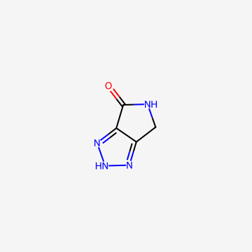 O=C1NCc2n[nH]nc21